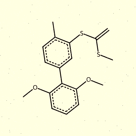 C=C(SC)Sc1cc(-c2c(OC)cccc2OC)ccc1C